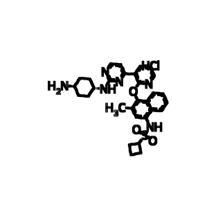 Cc1cc(NS(=O)(=O)C2CCC2)c2ccccc2c1Oc1ncccc1-c1ccnc(N[C@H]2CC[C@H](N)CC2)n1.Cl